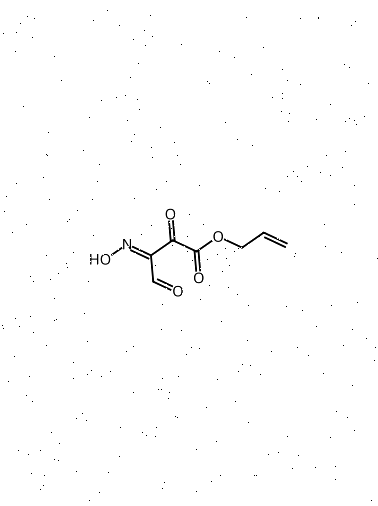 C=CCOC(=O)C(=O)/C(C=O)=N/O